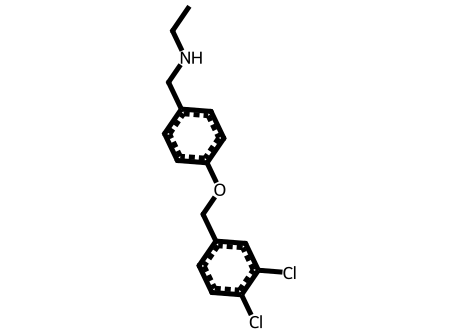 CCNCc1ccc(OCc2ccc(Cl)c(Cl)c2)cc1